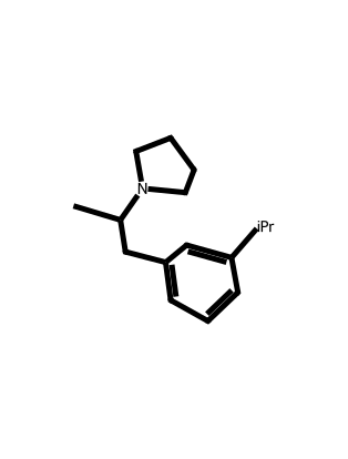 CC(C)c1cccc(CC(C)N2CCCC2)c1